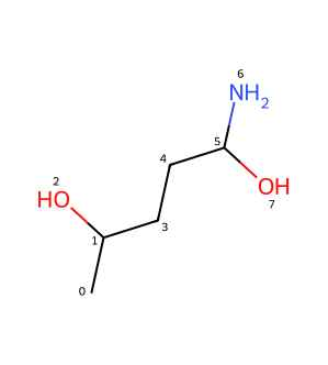 CC(O)CCC(N)O